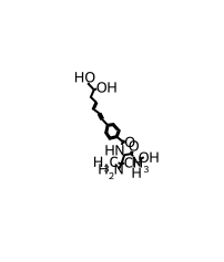 CC(C)(N)C(NC(=O)c1ccc(C#CC=CCC(O)CO)cc1)C(=O)NO